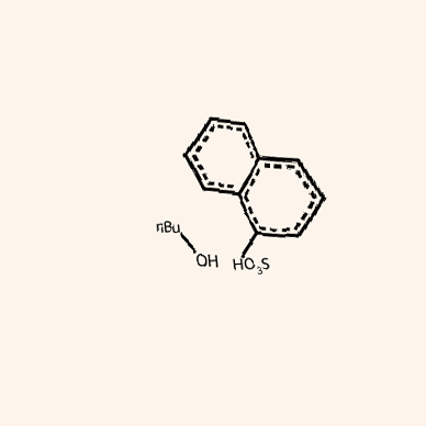 CCCCO.O=S(=O)(O)c1cccc2ccccc12